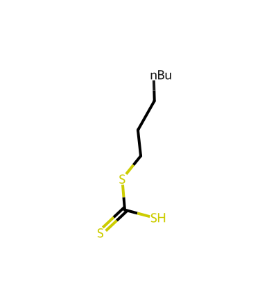 CCCCCCCSC(=S)S